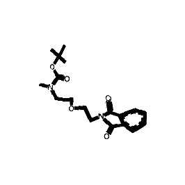 CN(CCOCCN1C(=O)c2ccccc2C1=O)C(=O)OC(C)(C)C